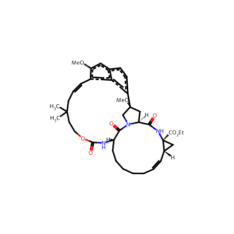 CCOC(=O)[C@@]12C[C@@H]1/C=C\CCCCC[C@@H]1NC(=O)OCCC(C)(C)CC=Cc3cc4cc(ccc4cc3OC)[C@]3(OC)C[C@@H](C(=O)N2)N(C3)C1=O